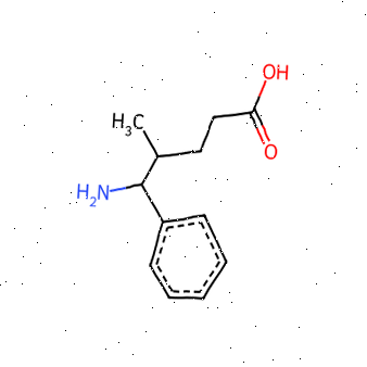 CC(CCC(=O)O)C(N)c1ccccc1